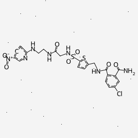 NC(=O)c1cc(Cl)ccc1C(=O)NCc1ccc(S(=O)(=O)NCC(=O)NCCNc2ccc([N+](=O)[O-])cn2)s1